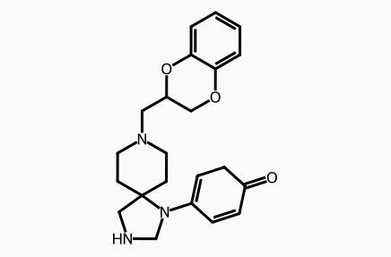 O=C1C=CC(N2CNCC23CCN(CC2COc4ccccc4O2)CC3)=CC1